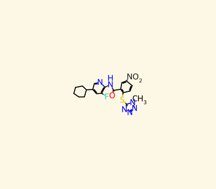 Cn1nnnc1Sc1ccc([N+](=O)[O-])cc1C(=O)Nc1ncc(C2CCCCC2)cc1F